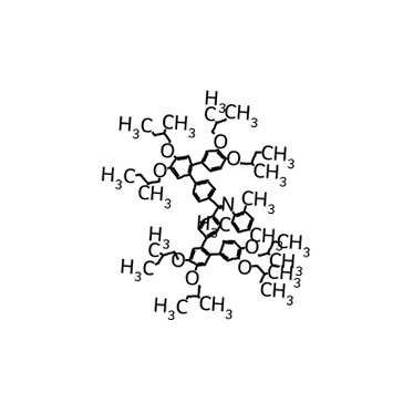 CCC(C)COc1ccc(-c2cc(OCC(C)CC)c(OCC(C)CC)cc2-c2ccc(C(=Nc3c(C)cc(C)cc3C)c3ccc(-c4cc(OCC(C)CC)c(OCC(C)CC)cc4-c4ccc(OCC(C)CC)c(OCC(C)CC)c4)cc3)cc2)cc1OCC(C)CC